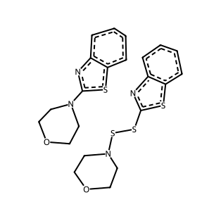 c1ccc2sc(N3CCOCC3)nc2c1.c1ccc2sc(SSN3CCOCC3)nc2c1